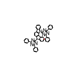 c1ccc(-c2nc(-c3ccccc3)nc(C3c4ccccc4-c4c3ccc3c5ccccc5n(-c5nc(-c6ccccc6)nc(-c6ccccc6)n5)c43)n2)cc1